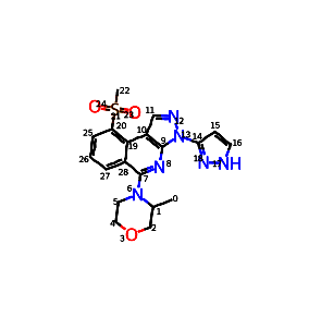 CC1COCCN1c1nc2c(cnn2-c2cc[nH]n2)c2c(S(C)(=O)=O)cccc12